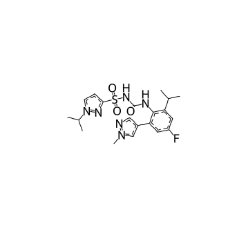 CC(C)c1cc(F)cc(-c2cnn(C)c2)c1NC(=O)NS(=O)(=O)c1ccn(C(C)C)n1